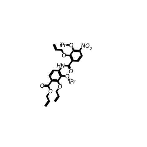 C=CCOC(=O)c1ccc(NC(=O)c2ccc([N+](=O)[O-])c(OC(C)C)c2OCC=C)c(OC(C)C)c1OCC=C